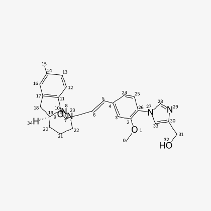 COc1cc(/C=C/C2=NO[C@@]34c5ccc(C)cc5C[C@@H]3CCCN24)ccc1-n1cnc(CO)c1